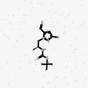 C[C@@H](Cn1nc(Br)cc1C=O)NC(=O)OC(C)(C)C